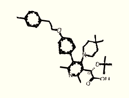 Cc1ccc(CCOc2ccc(-c3c(C)nc(C)c([C@H](OC(C)(C)C)C(=O)O)c3N3CCC(C)(C)CC3)cc2)cc1